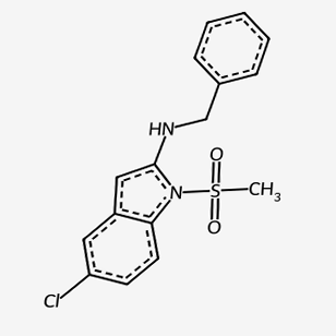 CS(=O)(=O)n1c(NCc2ccccc2)cc2cc(Cl)ccc21